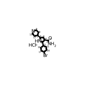 Cl.NC(=O)c1cc(-c2ccncc2)[nH]c1-c1ccc(Br)cc1